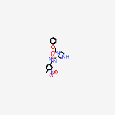 Cc1ccc(-c2noc([C@H]3CNCCN3C(=O)COc3ccccc3)n2)cc1[N+](=O)[O-]